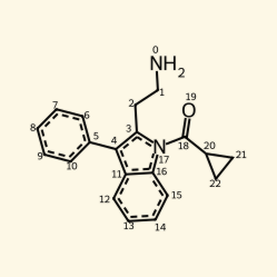 NCCc1c(-c2ccccc2)c2ccccc2n1C(=O)C1CC1